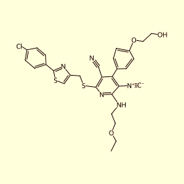 [C-]#[N+]c1c(NCCOCC)nc(SCc2csc(-c3ccc(Cl)cc3)n2)c(C#N)c1-c1ccc(OCCO)cc1